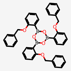 c1ccc(COc2ccccc2B2OB(c3ccccc3OCc3ccccc3)OB(c3ccccc3OCc3ccccc3)O2)cc1